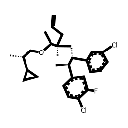 C=CC[C@@](C)(C[C@H](c1cccc(Cl)c1)[C@H](C)c1ccc(Cl)c(F)c1)C(C)OC[C@@H](C)C1CC1